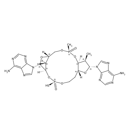 C[C@@H]1[C@@H]2O[P@@](C)(=O)OC[C@H]3O[C@@H](n4cnc5c(N)ncnc54)[C@H](O[P@](=O)(S)OCC[C@H]2O[C@H]1n1cnc2c(N)ncnc21)[C@@H]3F